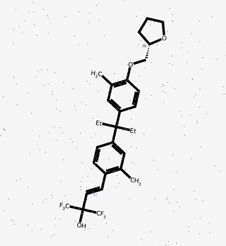 CCC(CC)(c1ccc(/C=C/C(O)(C(F)(F)F)C(F)(F)F)c(C)c1)c1ccc(OC[C@@H]2CCCO2)c(C)c1